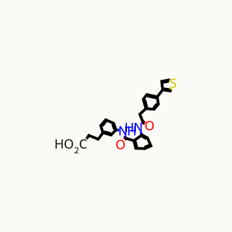 O=C(O)CCc1cccc(NC(=O)c2ccccc2NC(=O)Cc2ccc(-c3ccsc3)cc2)c1